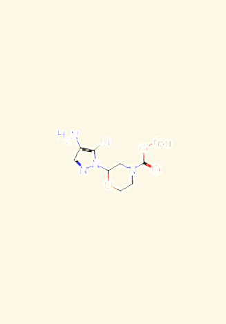 CC(C)(C)OC(=O)N1CCOC(n2ncc(N)c2Cl)C1